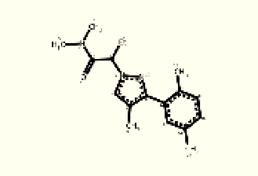 CCC(C(=O)N(C)C)n1cc(C)c(-c2cc(C)ccc2C)n1